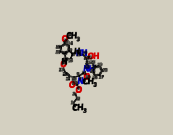 CCCCOC(=O)N(C)[C@H]1CC=CCO[C@@H]2C[C@H](NC[C@@H](O)[C@H](Cc3ccccc3)NC1=O)c1cc(OC)ccc12